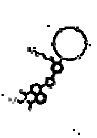 CCN1C(=O)c2cccc3c(-n4cc(-c5ccc(N6CCOCCOCCOCCOCCOCC6)c(OCCOC)c5)nn4)ccc(c23)C1=O